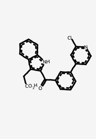 O=C(O)Cc1c(C(=O)c2cccc(-c3ccnc(Cl)c3)c2)[nH]c2ccccc12